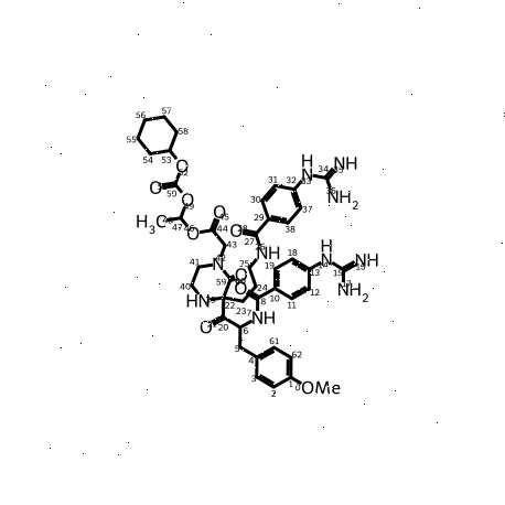 COc1ccc(CC(NC(=O)c2ccc(NC(=N)N)cc2)C(=O)C2(CCCNC(=O)c3ccc(NC(=N)N)cc3)NCCN(CC(=O)OC(C)OC(=O)OC3CCCCC3)C2=O)cc1